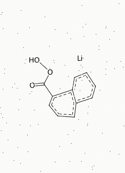 O=C(OO)c1cccc2ccccc12.[Li]